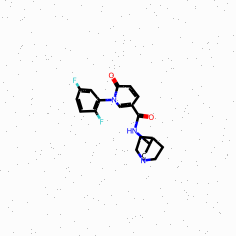 O=C(NC1CN2CCC1CC2)c1ccc(=O)n(-c2cc(F)ccc2F)c1